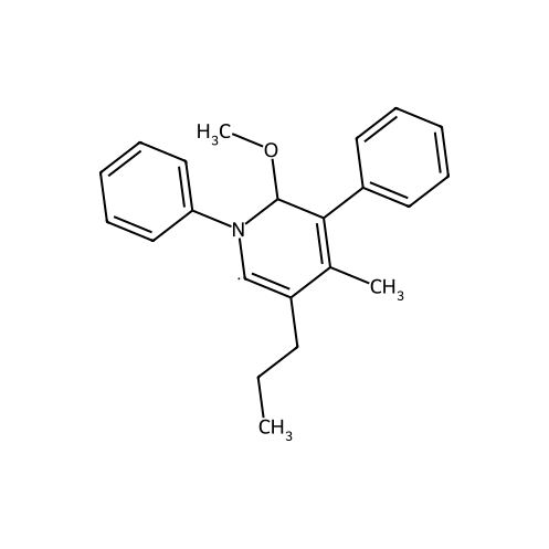 CCCC1=[C]N(c2ccccc2)C(OC)C(c2ccccc2)=C1C